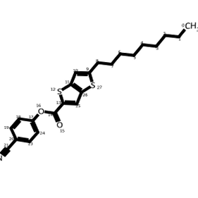 CCCCCCCCCc1cc2sc(C(=O)Oc3ccc(C#N)cc3)cc2s1